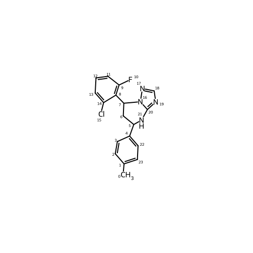 Cc1ccc(C2CC(c3c(F)cccc3Cl)n3ncnc3N2)cc1